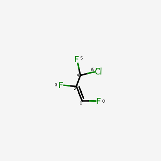 F/C=C(/F)C(F)Cl